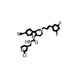 N#Cc1ccc2c3c(n(C(=O)NCc4ccnc(Cl)c4)c2c1)CCN(C/C=C/c1cc(F)cc(F)c1)C3